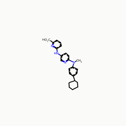 CN(c1ccc(C2CCCCC2)cc1)c1ccc(Nc2cccc(C(=O)O)n2)cn1